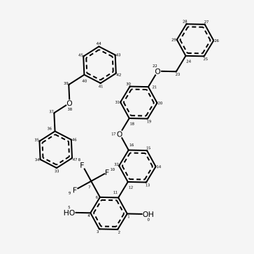 Oc1ccc(O)c(C(F)(F)F)c1-c1cccc(Oc2ccc(OCc3ccccc3)cc2)c1.c1ccc(COCc2ccccc2)cc1